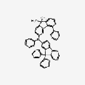 CC1(C)c2ccc(N(c3ccccc3)c3ccc4c(c3)C(c3ccccc3)(c3ccccc3)c3ccccc3-4)cc2-c2c(-c3ccccc3)cccc21